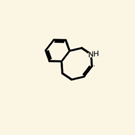 [C]1=C\CCC2C=CC=CC2CN/1